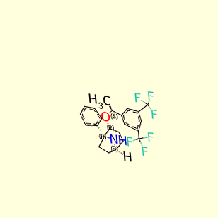 C[C@H](O[C@@H]1CC[C@H]2CC[C@]1(c1ccccc1)N2)c1cc(C(F)(F)F)cc(C(F)(F)F)c1